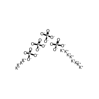 O=P([O-])([O-])[O-].O=P([O-])([O-])[O-].O=P([O-])([O-])[O-].O=P([O-])([O-])[O-].[K+].[K+].[K+].[K+].[K+].[K+].[K+].[K+].[K+].[K+].[K+].[K+]